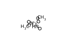 COc1cccc(C2(CNc3ccccc3)CCCN(c3ccccc3OC)CC2)c1